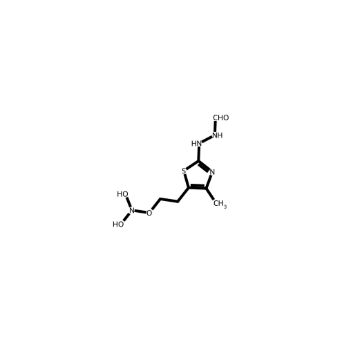 Cc1nc(NNC=O)sc1CCON(O)O